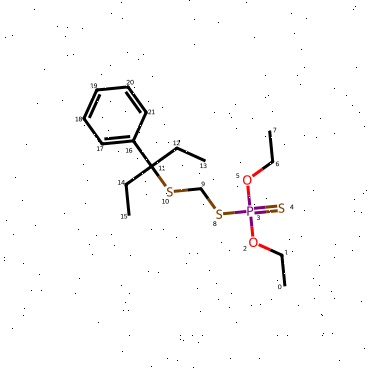 CCOP(=S)(OCC)SCSC(CC)(CC)c1ccccc1